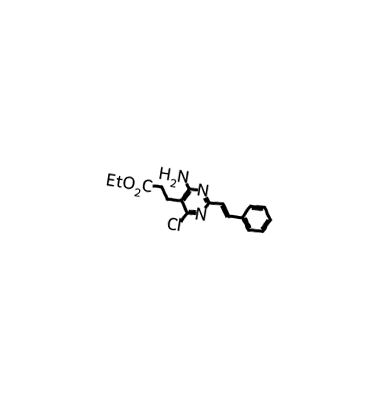 CCOC(=O)CCc1c(N)nc(C=Cc2ccccc2)nc1Cl